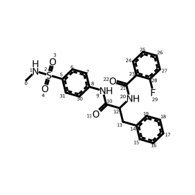 CNS(=O)(=O)c1ccc(NC(=O)C(Cc2ccccc2)NC(=O)c2ccccc2F)cc1